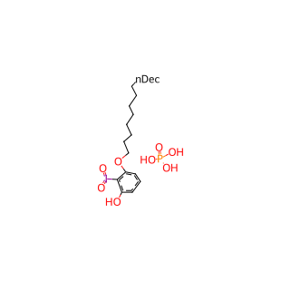 CCCCCCCCCCCCCCCCCCOc1cccc(O)c1I(=O)=O.O=P(O)(O)O